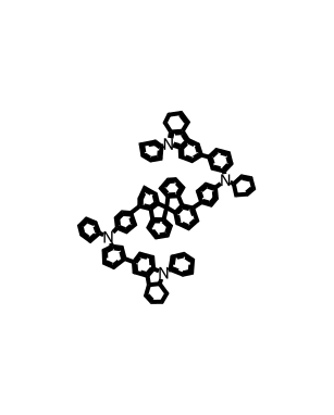 C1=CCC(N(c2ccc(-c3cccc4c3-c3ccccc3C43c4ccccc4-c4c(-c5ccc(N(c6ccccc6)c6cccc(-c7ccc8c(c7)C7C=CCCC7N8c7ccccc7)c6)cc5)cccc43)cc2)c2cccc(-c3ccc4c(c3)c3c(n4-c4ccccc4)CCC=C3)c2)C=C1